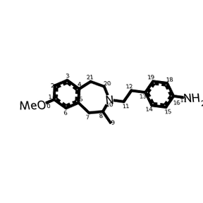 COc1ccc2c(c1)CC(C)N(CCc1ccc(N)cc1)CC2